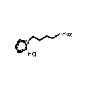 CCCCCCCCCCn1cccc1.Cl